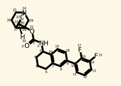 O=C(NC1CCCc2cc(-c3cccc(F)c3F)ccc21)O[C@H]1CN2CCC1CC2